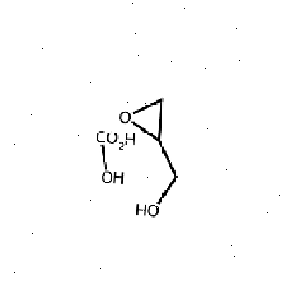 O=C(O)O.OCC1CO1